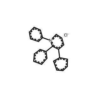 [Cl-].c1ccc(-c2ccc[n+](-c3ccccc3)c2-c2ccccc2)cc1